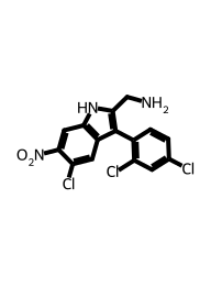 NCc1[nH]c2cc([N+](=O)[O-])c(Cl)cc2c1-c1ccc(Cl)cc1Cl